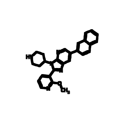 COc1ncccc1-c1nc2cc(-c3ccc4ccccc4c3)cnc2n1C1CCNCC1